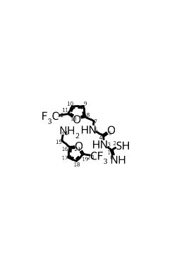 N=C(S)NC(=O)NCc1ccc(C(F)(F)F)o1.NCc1ccc(C(F)(F)F)o1